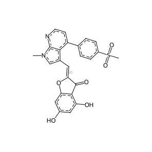 Cn1cc(/C=C2\Oc3cc(O)cc(O)c3C2=O)c2c(-c3ccc(S(C)(=O)=O)cc3)ccnc21